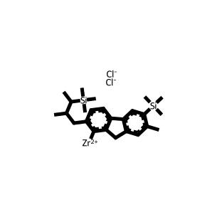 Cc1cc2c(cc1[Si](C)(C)C)-c1ccc(CC(C)C(C)[Si](C)(C)C)[c]([Zr+2])c1C2.[Cl-].[Cl-]